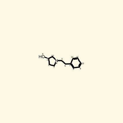 O[C@@H]1CCN(CCc2ccccc2)C1